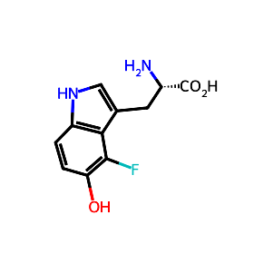 N[C@@H](Cc1c[nH]c2ccc(O)c(F)c12)C(=O)O